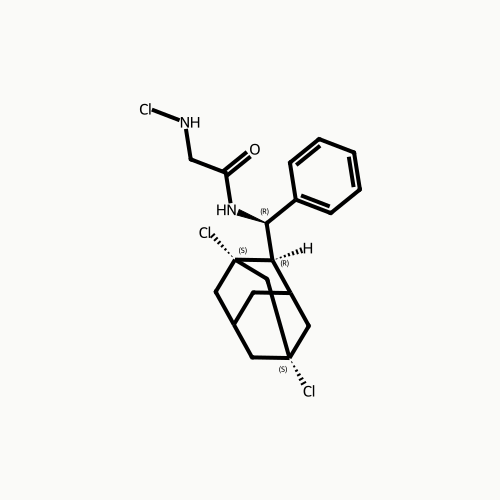 O=C(CNCl)N[C@@H](c1ccccc1)[C@H]1C2CC3C[C@](Cl)(C2)C[C@@]1(Cl)C3